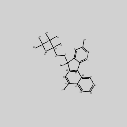 Cc1ccc2c(c1)C(C)(CCC1(C)OC(C)(C)C1(C)C)c1cc(C)c3ccccc3c1-2